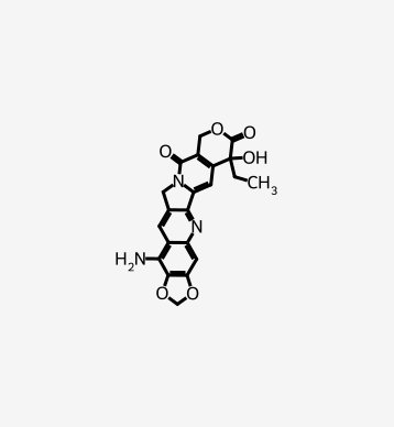 CCC1(O)C(=O)OCc2c1cc1n(c2=O)Cc2cc3c(N)c4c(cc3nc2-1)OCO4